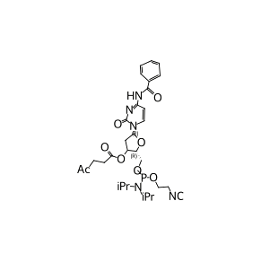 [C-]#[N+]CCOP(OC[C@H]1O[C@@H](n2ccc(NC(=O)c3ccccc3)nc2=O)CC1OC(=O)CCC(C)=O)N(C(C)C)C(C)C